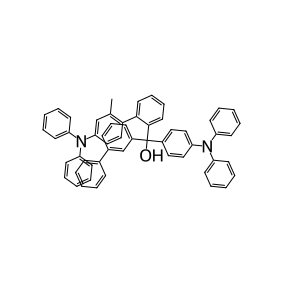 Cc1cc(N(c2ccccc2)c2ccccc2)ccc1-c1ccccc1C(O)(c1ccc(N(c2ccccc2)c2ccccc2)cc1)c1cccc(-c2ccccc2)c1